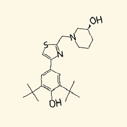 CC(C)(C)c1cc(-c2csc(CN3CCC[C@H](O)C3)n2)cc(C(C)(C)C)c1O